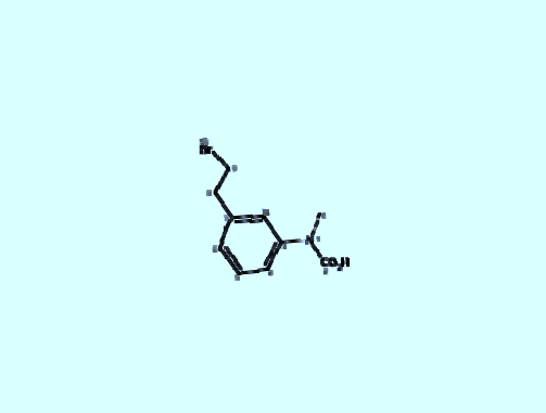 CN(C(=O)O)c1cccc(CCBr)c1